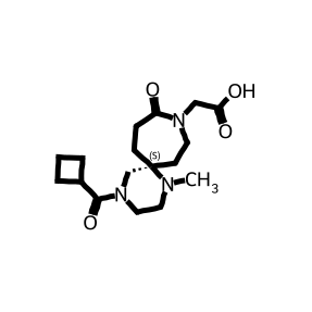 CN1CCN(C(=O)C2CCC2)C[C@@]12CCC(=O)N(CC(=O)O)CC2